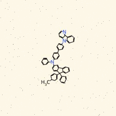 CC1C=CC(C2(c3ccccc3)c3ccccc3-c3cc(N(c4c#cccc4)c4ccc(-c5ccc(-n6c7ccccc7c7ncccc76)cc5)cc4)ccc32)=CC1